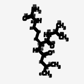 CC(C)CC(=O)N[C@@H](CCCNC(N)=O)C(=O)NC(C)C